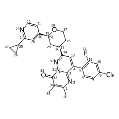 Cc1nc2c(-c3ccc(Cl)cc3F)cc([C@@H]3CCO[C@H](c4ccnc(C5CC5)c4)C3)nn2c(=O)c1C